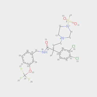 CC(CCN1CCN(S(C)(=O)=O)CC1)(C(=O)NCc1cccc(OC(F)(F)F)c1)c1ccc(Cl)c(Cl)c1